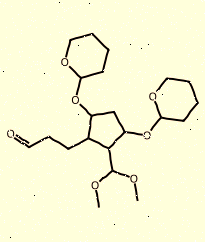 COC(OC)C1C(OC2CCCCO2)CC(OC2CCCCO2)C1CCC=O